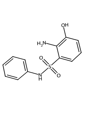 Nc1c(O)cccc1S(=O)(=O)Nc1ccccc1